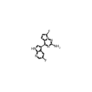 Nc1nc(-c2c[nH]c3ncc(F)cc23)c2ccc(F)n2n1